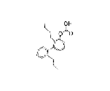 CCCCc1c(OC(=O)O)cccc1-c1ccccc1CCC